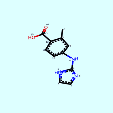 Cc1cc(Nc2ncc[nH]2)ccc1C(=O)O